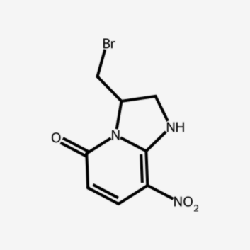 O=c1ccc([N+](=O)[O-])c2n1C(CBr)CN2